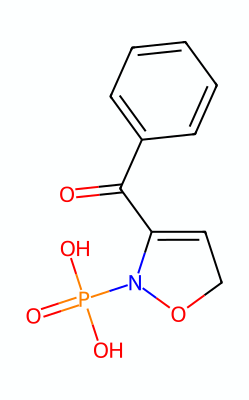 O=C(C1=CCON1P(=O)(O)O)c1ccccc1